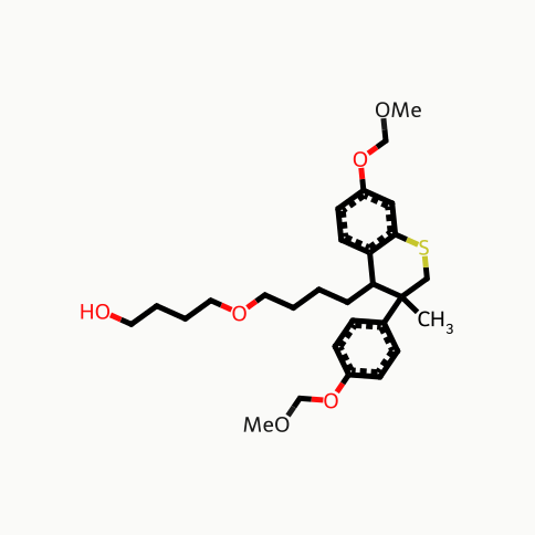 COCOc1ccc(C2(C)CSc3cc(OCOC)ccc3C2CCCCOCCCCO)cc1